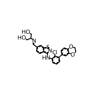 OCC(CO)N=Cc1ccc2c(Nc3cccc(-c4ccc5c(c4)OCCO5)c3Cl)nsc2c1